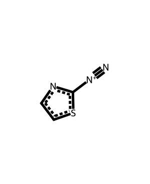 N#[N+]c1nccs1